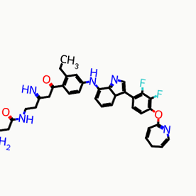 CCc1cc(NC2=CC=CC3C(c4ccc(OC5=NC=CCC=C5)c(F)c4F)=CN=C23)ccc1C(=O)CC(=N)CCNC(=O)CCN